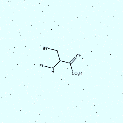 C=C(C(=O)O)C(CC(C)C)NCC